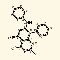 Cc1cc(Cl)c2c(=O)cc(Nc3ccccc3)n(-c3ccccc3)c2n1